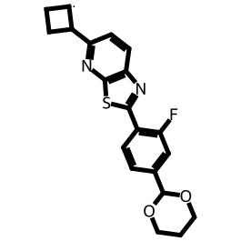 Fc1cc(C2OCCCO2)ccc1-c1nc2ccc(C3[CH]CC3)nc2s1